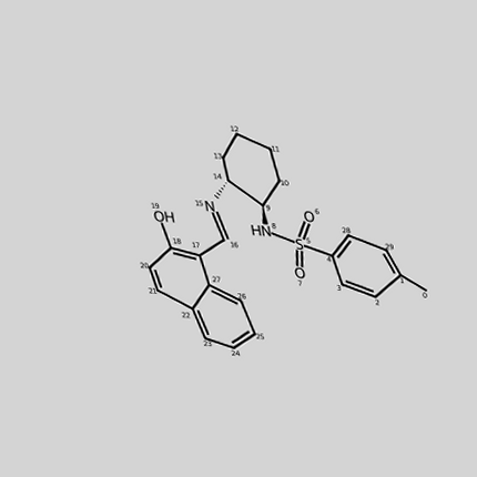 Cc1ccc(S(=O)(=O)N[C@@H]2CCCC[C@H]2/N=C/c2c(O)ccc3ccccc23)cc1